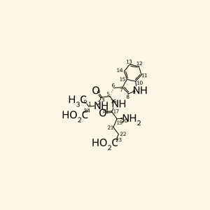 C[C@H](NC(=O)[C@H](Cc1c[nH]c2ccccc12)NC(=O)[C@@H](N)CCC(=O)O)C(=O)O